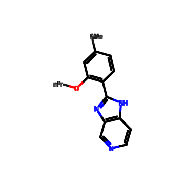 CCCOc1cc(SC)ccc1-c1nc2cnccc2[nH]1